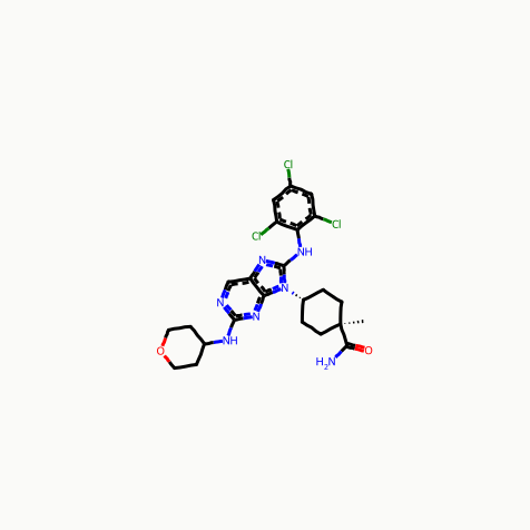 C[C@]1(C(N)=O)CC[C@H](n2c(Nc3c(Cl)cc(Cl)cc3Cl)nc3cnc(NC4CCOCC4)nc32)CC1